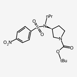 CCCN([C@H]1CCN(C(=O)OC(C)(C)C)C1)S(=O)(=O)c1ccc([N+](=O)[O-])cc1